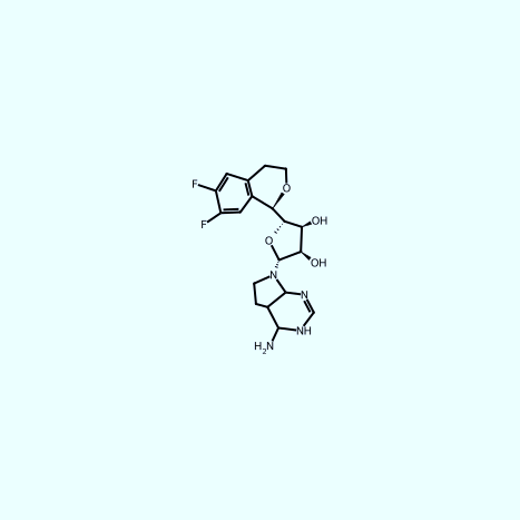 NC1NC=NC2C1CCN2[C@@H]1O[C@H]([C@@H]2OCCc3cc(F)c(F)cc32)[C@@H](O)[C@H]1O